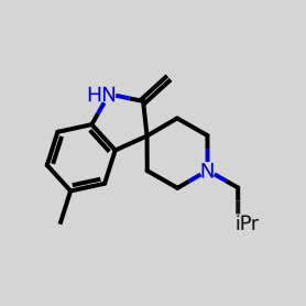 C=C1Nc2ccc(C)cc2C12CCN(CC(C)C)CC2